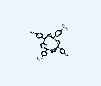 Cc1ccc(-c2c3nc(c(-c4ccc(C)cc4)c4ccc([nH]4)c(-c4ccc(O)cc4)c4nc(c(-c5ccc(C)cc5)c5ccc2[nH]5)C=C4)C=C3)cc1.[Zn]